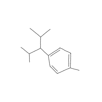 Cc1ccc(C(C(C)C)C(C)C)cc1